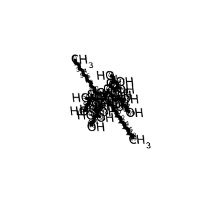 CCCCCCCCCCCCCO[C@H]([C@@H](OCCCCCCCCCCCCC)[C@H](CO[C@H](O)/C(O)=C(\O)[C@H](O)CCO)O[C@H](O)/C(O)=C(/O)[C@H](O)CCO)[C@H](CO[C@H](O)/C(O)=C(/O)[C@H](O)CCO)O[C@@H]1OC(CO)[C@@H](O)C(O)C1O